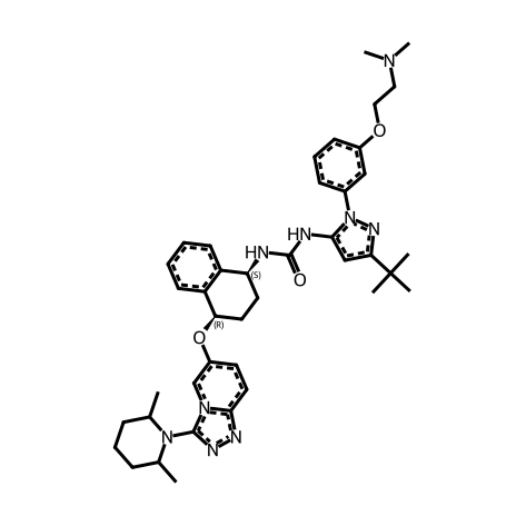 CC1CCCC(C)N1c1nnc2ccc(O[C@@H]3CC[C@H](NC(=O)Nc4cc(C(C)(C)C)nn4-c4cccc(OCCN(C)C)c4)c4ccccc43)cn12